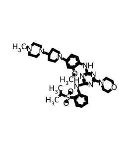 COc1cc(N2CCC(N3CCN(C)CC3)CC2)ccc1Nc1nc(Nc2ccccc2S(=O)(=O)C(C)C)nc(N2CCOCC2)n1